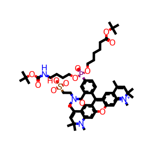 CC1=CC(C)(C)N(C)c2cc3c(cc21)C(c1ccc(P(=O)(OCCCCCC(=O)OC(C)(C)C)OCCCCNC(=O)OC(C)(C)C)cc1C(=O)N(C)CCS(=O)(=O)O)=c1cc2c(cc1O3)=[N+](C)C(C)(C)C=C2C